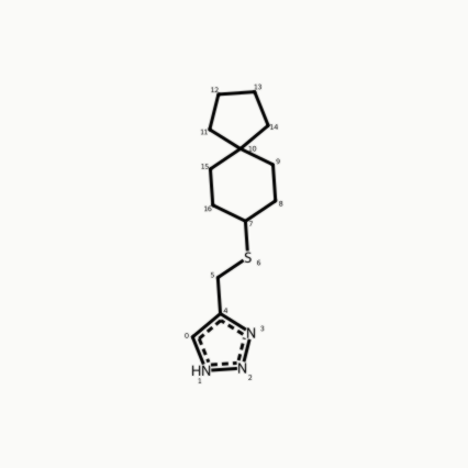 c1[nH]nnc1CSC1CCC2(CCCC2)CC1